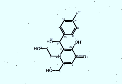 O=c1cc(CO)n(CCO)c(C(O)c2ccc(F)cc2)c1O